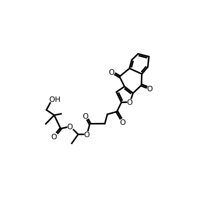 CC(OC(=O)CCC(=O)c1cc2c(o1)C(=O)c1ccccc1C2=O)OC(=O)C(C)(C)CO